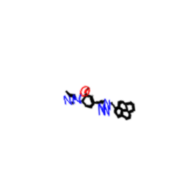 COC1C=C(c2cn(Cc3ccc4ccc5cccc6ccc3c4c56)nn2)C=CC1n1cnc(C)c1